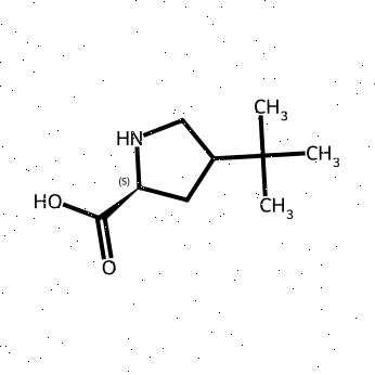 CC(C)(C)C1CN[C@H](C(=O)O)C1